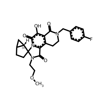 COCCN1C(=O)c2c3c(c(O)c(=O)n2C12CCC1C[C@@H]12)C(=O)N(Cc1ccc(F)cc1)CC3